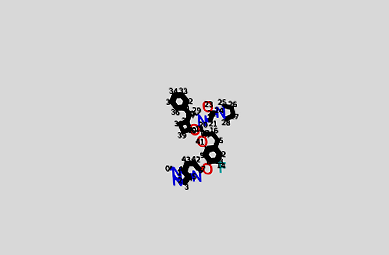 Cn1ncc2nc(Oc3cc4c(cc3F)CC[C@@H](C(=O)N(CC(=O)N3CCCC3)C[C@@H](c3ccccc3)C3CCC3)O4)ccc21